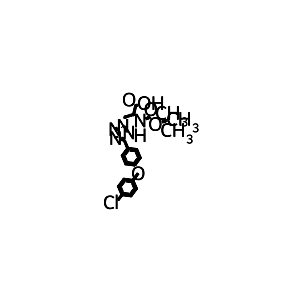 CC(C)(C)OC(=O)NC(Cn1nnc(-c2ccc(Oc3ccc(Cl)cc3)cc2)n1)C(=O)O